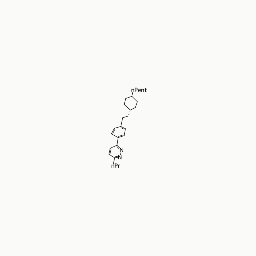 CCCCC[C@H]1CC[C@H](CCc2ccc(-c3ccc(CCC)nn3)cc2)CC1